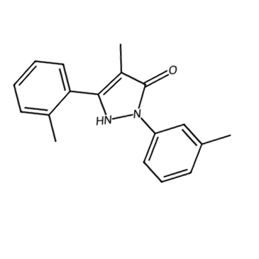 Cc1cccc(-n2[nH]c(-c3ccccc3C)c(C)c2=O)c1